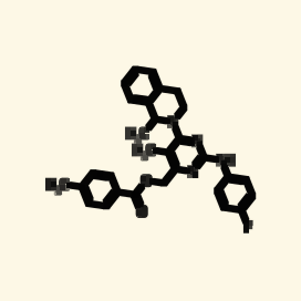 Cc1ccc(C(=O)OCc2nc(Nc3ccc(F)cc3)nc(N3CCc4ccccc4C3C)c2C)cc1